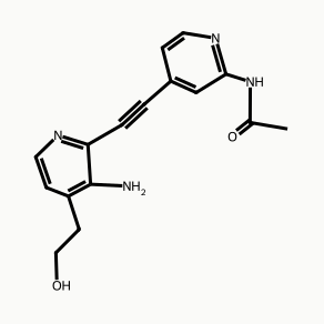 CC(=O)Nc1cc(C#Cc2nccc(CCO)c2N)ccn1